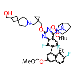 CCc1c(F)ccc2cc(OCOC)cc(-c3c(F)cc4c(N5CC6CCC(C5)N6C(=O)OC(C)(C)C)nc(OCC5(CN6CCC7(CC6)CC(CO)C7)CC5)nc4c3F)c12